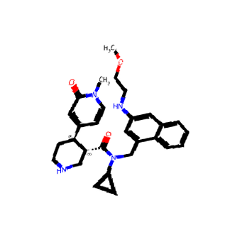 COCCNc1cc(CN(C(=O)[C@@H]2CNCC[C@H]2c2ccn(C)c(=O)c2)C2CC2)c2ccccc2c1